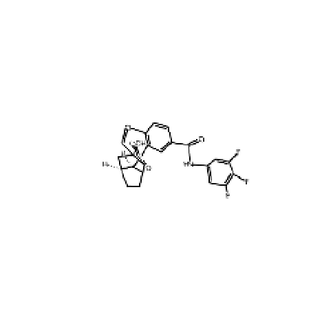 C=C[C@]1(O)CC2CC[C@@H](C1)[C@H]2S(=O)(=O)c1cc(C(=O)Nc2cc(F)c(F)c(F)c2)ccc1Cl